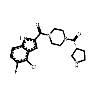 O=C(c1cc2c(Cl)c(F)ccc2[nH]1)N1CCN(C(=O)[C@@H]2CCNC2)CC1